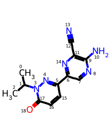 CC(C)n1nc(-c2cnc(N)c(C#N)n2)ccc1=O